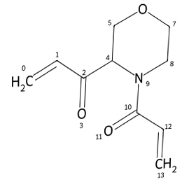 C=CC(=O)C1COCCN1C(=O)C=C